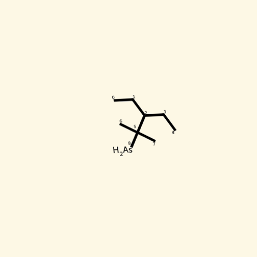 CCC(CC)C(C)(C)[AsH2]